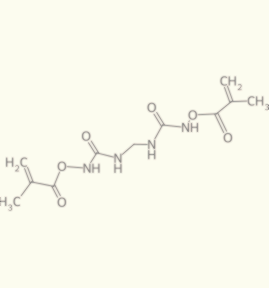 C=C(C)C(=O)ONC(=O)NCNC(=O)NOC(=O)C(=C)C